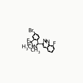 CC1(C)N=C(c2cc3cccc(F)c3nn2)c2ccc(Br)cc2C1(F)F